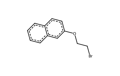 BrCCOc1ccc2ccccc2c1